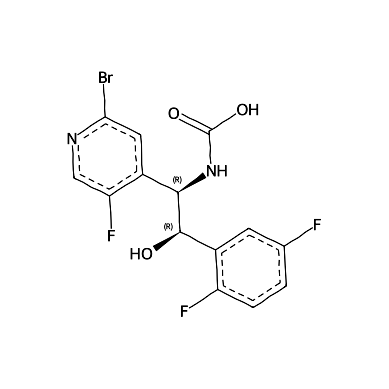 O=C(O)N[C@H](c1cc(Br)ncc1F)[C@H](O)c1cc(F)ccc1F